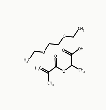 C=C(C)C(=O)OC(C)C(=O)O.CCOCCOCC